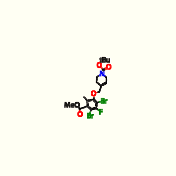 COC(=O)c1c(C)c(OCC2=CCN(C(=O)OC(C)(C)C)CC2)c(Br)c(F)c1Br